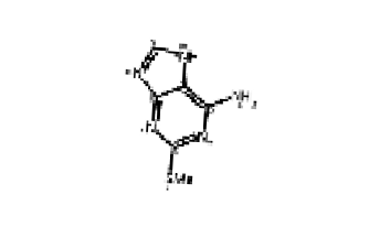 CSc1nc(N)c2c(n1)[N+]=CN2